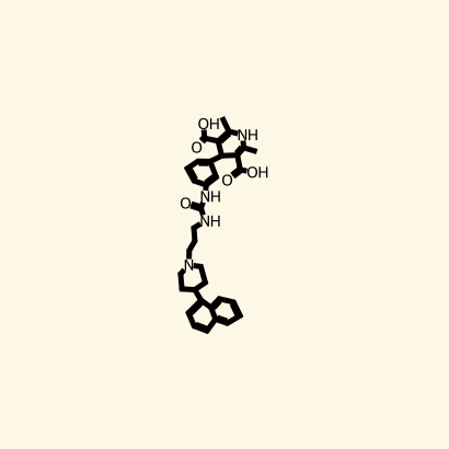 CC1=C(C(=O)O)C(c2cccc(NC(=O)NCCCN3CCC(c4cccc5ccccc45)CC3)c2)C(C(=O)O)=C(C)N1